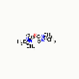 Cc1cc(C)c2nc(-c3ccccc3)c(-c3ccc(Oc4ccc(-c5nc6c(C)cc(C)cc6nc5-c5ccccc5)cc4)cc3)nc2c1